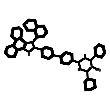 CN1C(c2ccccc2)NC(c2ccc(-c3ccc(C4Nc5c(c6cnccc6c6ccccc56)N4c4cccc5ccccc45)cc3)cc2)NC1c1ccccc1